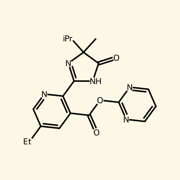 CCc1cnc(C2=NC(C)(C(C)C)C(=O)N2)c(C(=O)Oc2ncccn2)c1